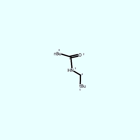 CCCCC(=O)NCC(C)(C)C